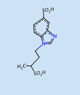 CC(CCn1cnc2cc(S(=O)(=O)O)ccc21)S(=O)(=O)O